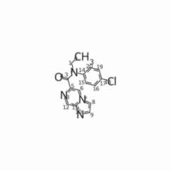 CCN(C(=O)c1cn2ccnc2cn1)c1ccc(Cl)cc1